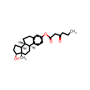 CCCC(=O)CC(=O)Oc1ccc2c(c1)CC[C@@H]1[C@@H]2CC[C@]2(C)[C@@H](O)CC[C@@H]12